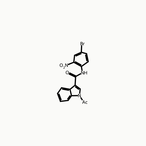 CC(=O)n1cc(C(=O)Nc2ccc(Br)cc2[N+](=O)[O-])c2ccccc21